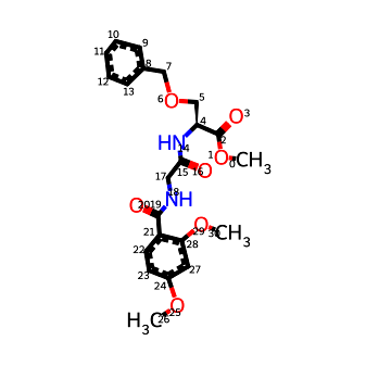 COC(=O)[C@H](COCc1ccccc1)NC(=O)CNC(=O)c1ccc(OC)cc1OC